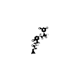 O=C(NCC1CC1)NNC(=O)c1cc(NC(=O)[C@H]2[C@H](c3cc(Cl)cc(Cl)c3)C2(Cl)Cl)ccc1Cl